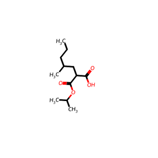 CCCC(C)CC(C(=O)O)C(=O)OC(C)C